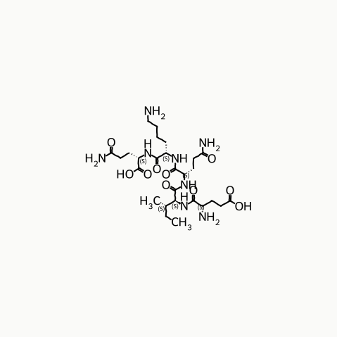 CC[C@H](C)[C@H](NC(=O)[C@@H](N)CCC(=O)O)C(=O)N[C@@H](CCC(N)=O)C(=O)N[C@@H](CCCCN)C(=O)N[C@@H](CCC(N)=O)C(=O)O